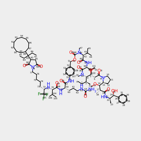 CC[C@H](C)[C@@H]([C@@H](CC(=O)N1CCC[C@H]1[C@H](OC)[C@@H](C)C(=O)N[C@H](C)[C@@H](O)c1ccccc1)OC)N(C)C(=O)[C@@H](NC(=O)[C@H](C(C)C)N(C)C(=O)OCc1ccc(NC(=O)[C@H](CCCNC(N)=O)NC(=O)[C@@H](N[C@@H](CCCCCN2C(=O)CC(C(CC)(CC)C3CCCCCCCCC3)C2=O)C(F)(F)F)C(C)C)cc1)C(C)C